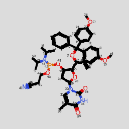 C=CC(OC(c1ccccc1)(c1ccc(OC)cc1)c1ccc(OC)cc1)C1OC(n2cc(C)c(=O)[nH]c2=O)CC1OP(OCCC#N)N(C(C)C)C(C)C